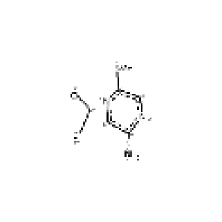 CSc1cnc(N)cn1.ClCCl